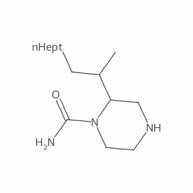 CCCCCCCCC(C)C1CNCCN1C(N)=O